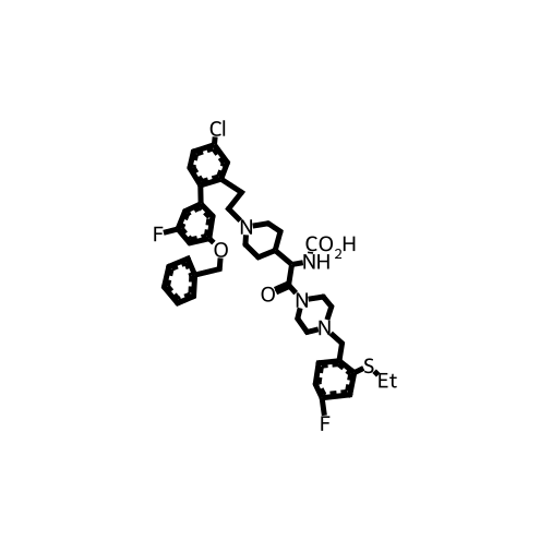 CCSc1cc(F)ccc1CN1CCN(C(=O)C(NC(=O)O)C2CCN(CCc3cc(Cl)ccc3-c3cc(F)cc(OCc4ccccc4)c3)CC2)CC1